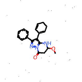 COC1CC(=O)n2nc(-c3ccccc3)c(C3=CCCC=C3)c2N1